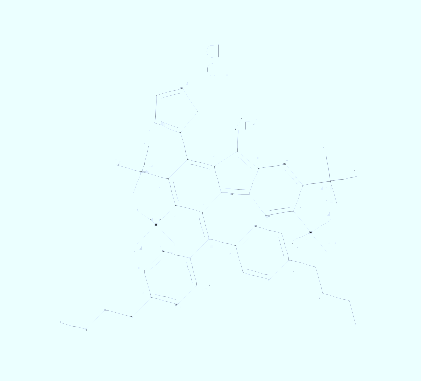 CCCCc1ccc(C(c2ccc(CCCC)cc2)=c2c(C(C)(C)C)c(C(C)(C)C)c(C3=CC=CC3)c3c2=c2cc(C(C)(C)C)c(C(C)(C)C)cc2=[C]3[Zr+2])cc1.[Cl-].[Cl-]